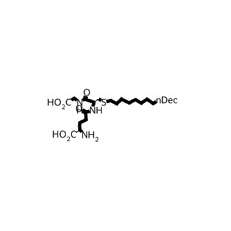 CCCCCCCCCCCCCCCCCCSC[C@H](NC(=O)CC[C@H](N)C(=O)O)C(=O)NCC(=O)O